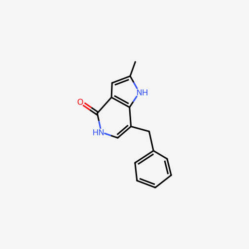 Cc1cc2c(=O)[nH]cc(Cc3ccccc3)c2[nH]1